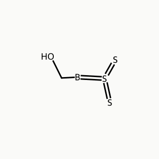 OCB=S(=S)=S